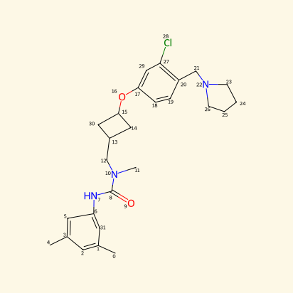 Cc1cc(C)cc(NC(=O)N(C)CC2CC(Oc3ccc(CN4CCCC4)c(Cl)c3)C2)c1